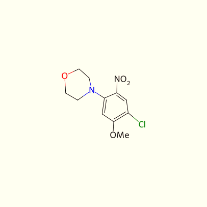 COc1cc(N2CCOCC2)c([N+](=O)[O-])cc1Cl